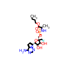 CCCCOC(=O)[C@H](C)N[PH](=O)OC[C@@]1(CF)O[C@@H](c2ccc3c(N)ncnn23)[C@H](O)[C@@H]1O